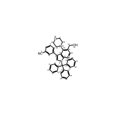 N#Cc1cccc(-c2cn(C(c3ccccc3)(c3ccccc3)c3ccccc3)c3ncc(CO)c(N4CCOCC4)c23)c1